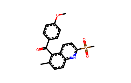 COc1ccc(C(=O)c2c(C)ccc3nc(S(C)(=O)=O)ccc23)cc1